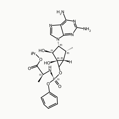 CC(C)OC(=O)[C@H](C)N[P@@](=O)(Oc1ccccc1)OC1[C@H]2[C@@H](C)[C@@H](n3cnc4c(N)nc(N)nc43)[C@H](O)[C@@]12O